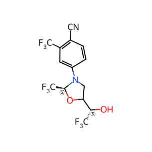 N#Cc1ccc(N2CC([C@H](O)C(F)(F)F)O[C@H]2C(F)(F)F)cc1C(F)(F)F